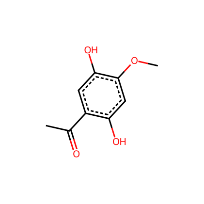 COc1cc(O)c(C(C)=O)cc1O